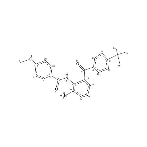 COc1ccc(C(=O)Nc2c(N)ccnc2C(=O)c2ccc(C(C)(C)C)cc2)cc1